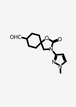 Cn1ccc(N2CC3(CCC(C=O)CC3)OC2=O)n1